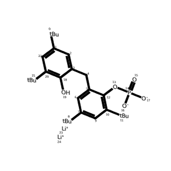 CC(C)(C)c1cc(Cc2cc(C(C)(C)C)cc(C(C)(C)C)c2OP(=O)([O-])[O-])c(O)c(C(C)(C)C)c1.[Li+].[Li+]